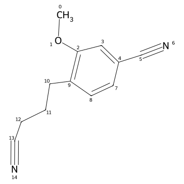 COc1cc(C#N)ccc1CCCC#N